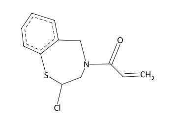 C=CC(=O)N1Cc2ccccc2SC(Cl)C1